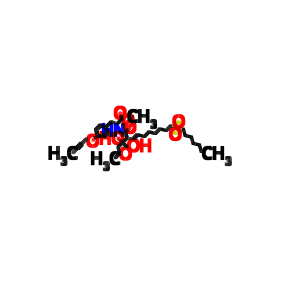 CC#CCOc1ccc(C[C@H](NC(=O)[C@@H](C=CCCCCCCS(=O)(=O)CCCCCCC)[C@@](O)(CCC)C(=O)O)C(=O)OC)cc1